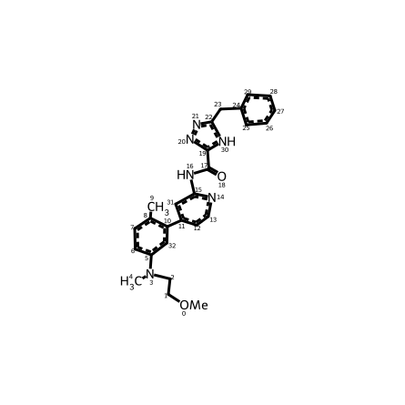 COCCN(C)c1ccc(C)c(-c2ccnc(NC(=O)c3nnc(Cc4ccccc4)[nH]3)c2)c1